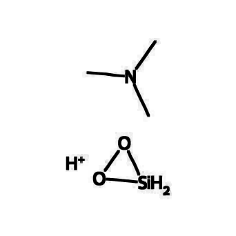 CN(C)C.O1O[SiH2]1.[H+]